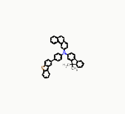 CC1(C)c2ccccc2-c2ccc(N(c3ccc(-c4ccc5sc6ccccc6c5c4)cc3)c3ccc4ccc5ccccc5c4c3)cc21